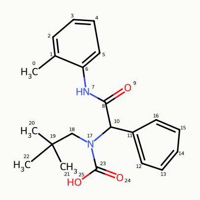 Cc1ccccc1NC(=O)C(c1ccccc1)N(CC(C)(C)C)C(=O)O